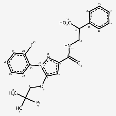 CC(C)C(C)(O)COc1cc(C(=O)NCC(C(=O)O)c2ccccc2)nn1-c1ccccc1F